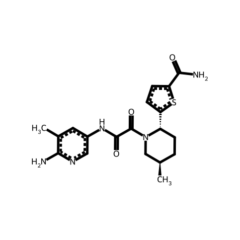 Cc1cc(NC(=O)C(=O)N2C[C@H](C)CC[C@H]2c2ccc(C(N)=O)s2)cnc1N